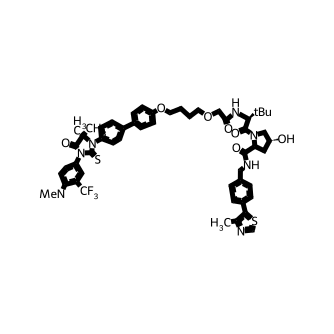 CNc1ccc(N2C(=O)C(C)(C)N(c3ccc(-c4ccc(OCCCCOCC(=O)N[C@H](C(=O)N5C[C@H](O)CC5C(=O)NCc5ccc(-c6scnc6C)cc5)C(C)(C)C)cc4)cc3)C2=S)cc1C(F)(F)F